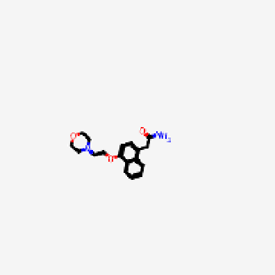 NC(=O)Cc1ccc(OCCN2CCOCC2)c2ccccc12